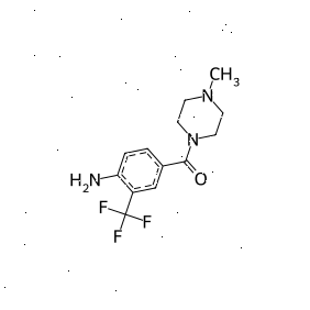 CN1CCN(C(=O)c2ccc(N)c(C(F)(F)F)c2)CC1